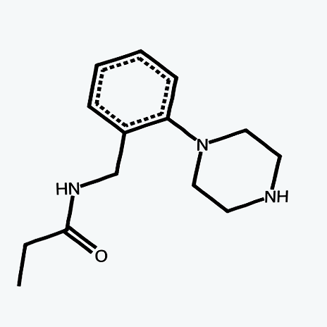 CCC(=O)NCc1ccccc1N1CCNCC1